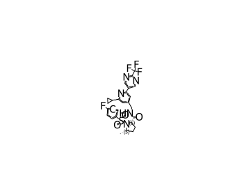 C[C@H]1CC[C@@H](C(=O)NCc2cc(-c3cnc(C(F)(F)F)nc3)nc(C3CC3)c2)N1S(=O)(=O)c1ccc(F)cc1